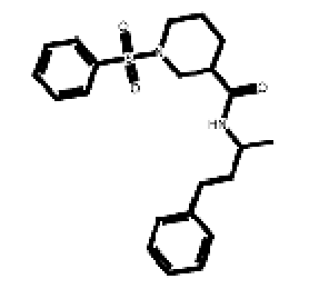 CC(CCc1ccccc1)NC(=O)C1CCCN(S(=O)(=O)c2ccccc2)C1